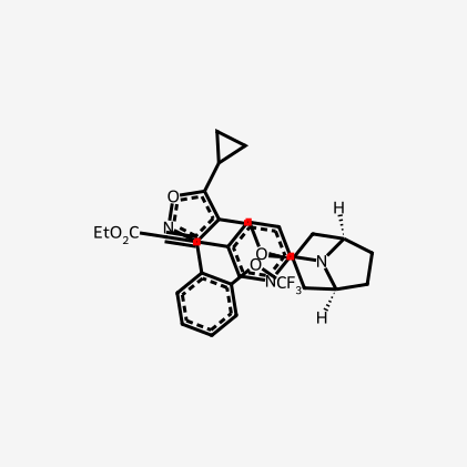 CCOC(=O)C#Cc1ccc(N2[C@@H]3CC[C@H]2C[C@@H](OCc2c(-c4ccccc4OC(F)(F)F)noc2C2CC2)C3)nc1